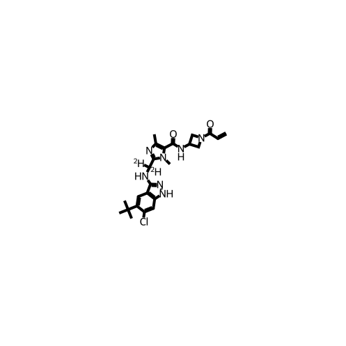 [2H]C([2H])(Nc1n[nH]c2cc(Cl)c(C(C)(C)C)cc12)c1nc(C)c(C(=O)NC2CN(C(=O)C=C)C2)n1C